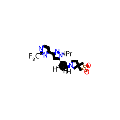 CC(C)n1nc(-c2ccnc(C(F)(F)F)n2)cc1[C@]12C3[C@H](N4CCC5(C4)CS(=O)(=O)C5)C[C@@H]1[C@H]32